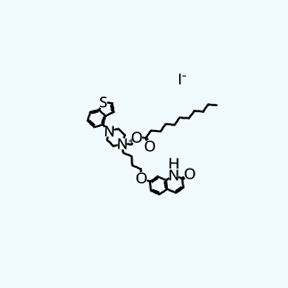 CCCCCCCCCCC(=O)OC[N+]1(CCCCOc2ccc3ccc(=O)[nH]c3c2)CCN(c2cccc3sccc23)CC1.[I-]